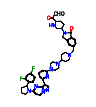 O=CC(=O)C1CCC(N2Cc3cc(CN4CCC(N5CCN(c6cccc(-c7cnn8ccc(N9CCCC9c9ccc(F)cc9F)nc78)n6)CC5)CC4)ccc3C2=O)CN1